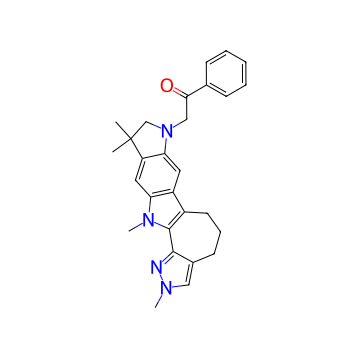 Cn1cc2c(n1)-c1c(c3cc4c(cc3n1C)C(C)(C)CN4CC(=O)c1ccccc1)CCC2